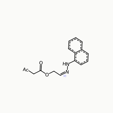 CC(=O)CC(=O)OC/C=N\Nc1cccc2ccccc12